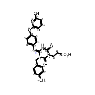 Cc1ccc(Cn2c(=O)n(CCC(=O)O)c(=O)[nH]/c2=N\c2ccc(Oc3cccc(C#N)n3)cc2)cc1